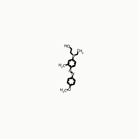 CCN(CCO)c1ccc(N=Nc2ccc(OC)cc2)c(C)c1